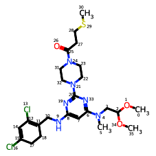 COC(CN(C)c1cc(NCC2=C(Cl)C=C(Cl)CC2)nc(N2CCN(C(=O)CCSC)CC2)n1)OC